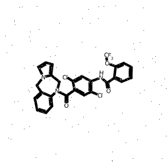 O=C(Nc1cc(Cl)c(C(=O)N2Cc3cccn3Cc3ccccc32)cc1Cl)c1ccccc1OC(F)(F)F